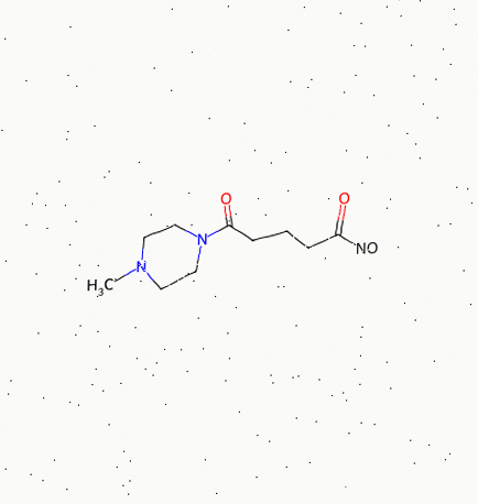 CN1CCN(C(=O)CCCC(=O)N=O)CC1